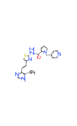 CC(C)c1c(/C=C/c2csc(NC(=O)c3cccn3Cc3ccncc3)n2)ncn1C